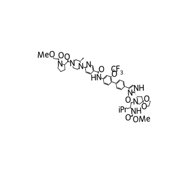 COCC(=O)N1CCCC1C(=O)N1CCN(c2ccc(C(=O)Nc3ccc(-c4ccc(-c5c[nH]c([C@@H]6CC7(CN6C(=O)[C@@H](NC(=O)OC)C(C)C)OCCO7)n5)cc4)c(OC(F)(F)F)c3)cn2)[C@H](C)C1